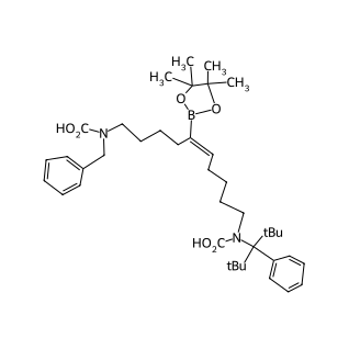 CC(C)(C)C(c1ccccc1)(N(CCCCC=C(CCCCN(Cc1ccccc1)C(=O)O)B1OC(C)(C)C(C)(C)O1)C(=O)O)C(C)(C)C